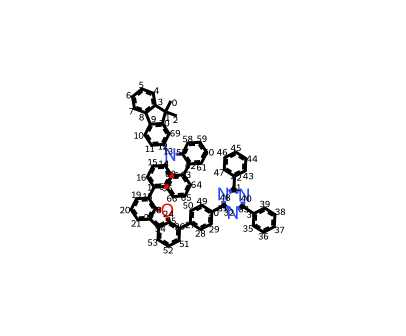 CC1(C)c2ccccc2-c2ccc(N(c3ccc(-c4cccc5c4oc4c(-c6ccc(-c7nc(-c8ccccc8)nc(-c8ccccc8)n7)cc6)cccc45)cc3)c3ccccc3-c3ccccc3)cc21